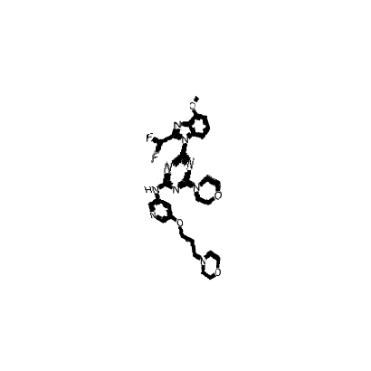 COc1cccc2c1nc(C(F)F)n2-c1nc(Nc2cncc(OCCCN3CCOCC3)c2)nc(N2CCOCC2)n1